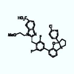 COCCn1c(Cc2c(F)cc(-c3cccc4c3OC3(c5ccc(Cl)cc5)CCCN43)cc2F)nc2ccc(C(=O)O)cc21